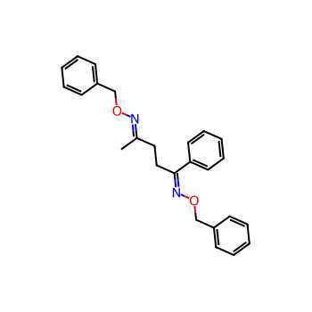 C/C(CC/C(=N/OCc1ccccc1)c1ccccc1)=N\OCc1ccccc1